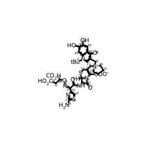 CC(C)(C)n1cc(C[N+]2(CC3=C(C(=O)[O-])N4C(=O)[C@@H](NC(=O)/C(=N\O[C@@H](CC(=O)O)C(=O)O)c5csc(N)n5)[C@H]4SC3)CCCC2)c(=O)c2cc(O)c(O)cc21